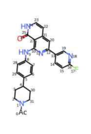 CC(=O)N1CCC(c2ccc(Nc3nc(-c4ccc(F)nc4)cc4cc[nH]c(=O)c34)cc2)CC1